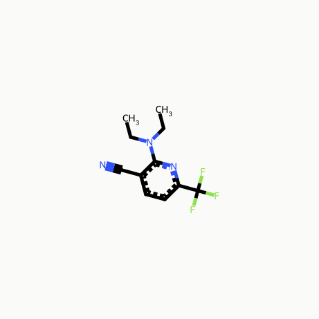 CCN(CC)c1nc(C(F)(F)F)ccc1C#N